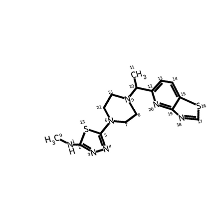 CNc1nnc(N2CCN(C(C)c3ccc4scnc4n3)CC2)s1